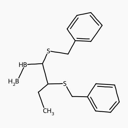 BBC(SCc1ccccc1)C(CC)SCc1ccccc1